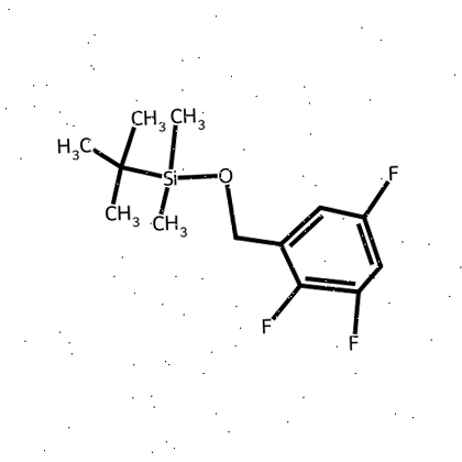 CC(C)(C)[Si](C)(C)OCc1cc(F)cc(F)c1F